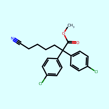 COC(=O)C(CCCCC#N)(c1ccc(Cl)cc1)c1ccc(Cl)cc1